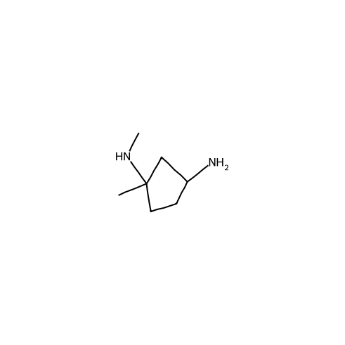 CNC1(C)CCC(N)C1